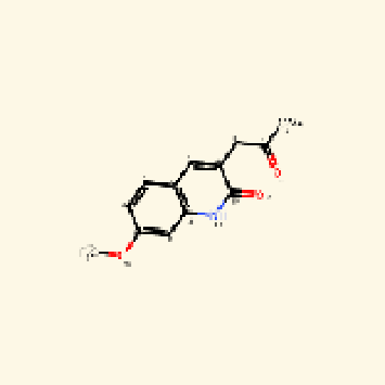 COC(=O)Cc1cc2ccc(OC(F)(F)F)cc2[nH]c1=O